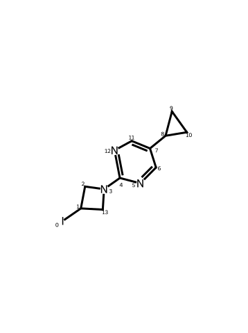 IC1CN(c2ncc(C3CC3)cn2)C1